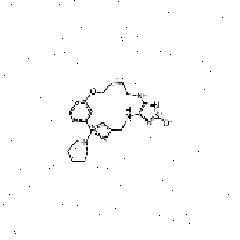 [O-][s+]1nc(NC/C=C\COc2cccc(CN3CCCCC3)c2)c(NCc2ccsc2)n1